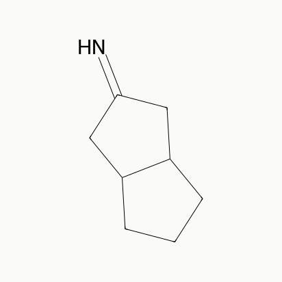 N=C1CC2CCCC2C1